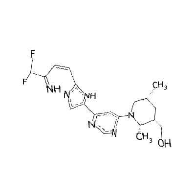 C[C@@H]1C[C@H](CO)[C@H](C)N(c2cc(-c3cnc(/C=C\C(=N)C(F)F)[nH]3)ncn2)C1